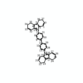 C1=Cc2c(c3c(n2-c2ccc(-c4ccc(-n5c6c(c7c5C=CCC7)CCC=C6)cc4)cc2)C=CCC3)CC1